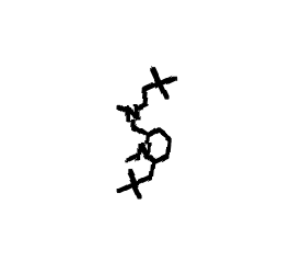 CN(CCC(C)(C)C)CC1CCCC(CC(C)(C)C)N1C